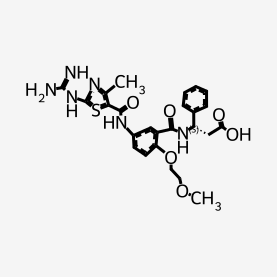 COCCOc1ccc(NC(=O)c2sc(NC(=N)N)nc2C)cc1C(=O)N[C@@H](CC(=O)O)c1ccccc1